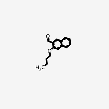 CCCCOc1cc2ccccc2cc1C=O